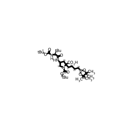 CC(C)(C)OC(=O)N[C@H](C(=O)NC1CN(C(=O)OC(C)(C)C)C(CCCCB2OC(C)(C)C(C)(C)O2)(C(=O)O)C1)C(C)(C)C